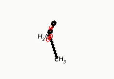 CCCCCCCCCCCCCCC(=O)OC(C)c1ccc(OCc2ccccc2)cc1